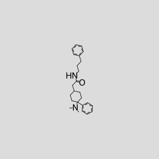 CN(C)C1(c2ccccc2)CCC(CC(=O)NCCCc2ccccc2)CC1